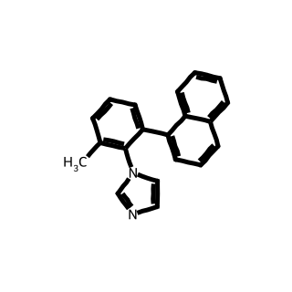 Cc1cccc(-c2cccc3ccccc23)c1-n1ccnc1